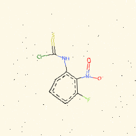 O=[N+]([O-])c1c(F)cccc1NC(=S)Cl